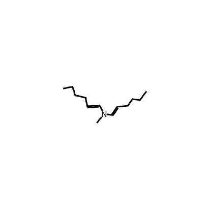 CCCCC=CN(C)C=CCCCC